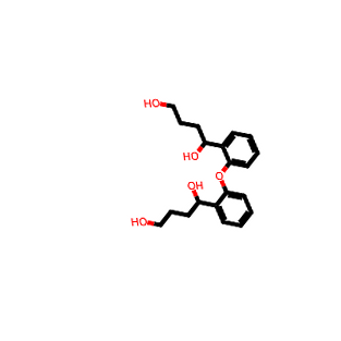 OCCCC(O)c1ccccc1Oc1ccccc1C(O)CCCO